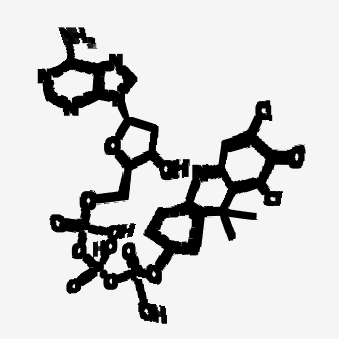 CC1(C)C2=C(Cl)C(=O)C(Cl)=CC2=Nc2ccc(OP(=O)(O)OP(=O)(O)OP(=O)(O)OC[C@H]3O[C@@H](n4cnc5c(N)ncnc54)CC3O)cc21